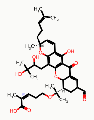 CC(C)=CCC[C@@]1(C)C=Cc2c(O)c3c(c(CC(O)C(C)(C)O)c2O1)OC1C(=CC(C=O)C[C@@H]1C(C)(C)OCC/C=C(/C)C(=O)O)C3=O